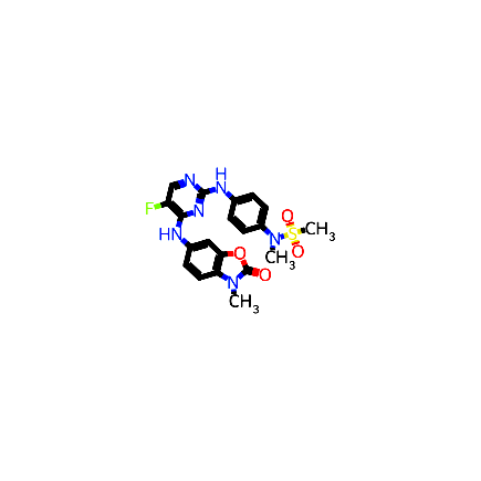 CN(c1ccc(Nc2ncc(F)c(Nc3ccc4c(c3)oc(=O)n4C)n2)cc1)S(C)(=O)=O